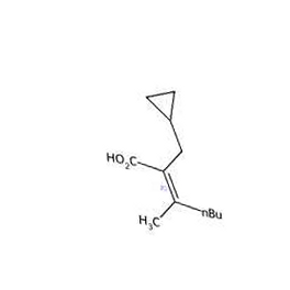 CCCC/C(C)=C(\CC1CC1)C(=O)O